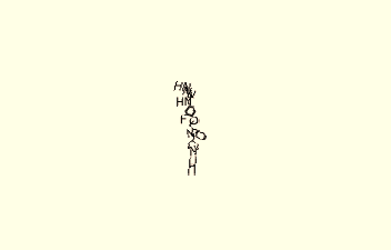 N=N/N=C\Nc1ccc(OCc2coc(C3CCNCC3)n2)c(F)c1